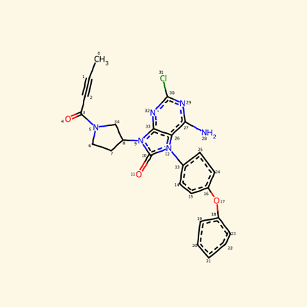 CC#CC(=O)N1CCC(n2c(=O)n(-c3ccc(Oc4ccccc4)cc3)c3c(N)nc(Cl)nc32)C1